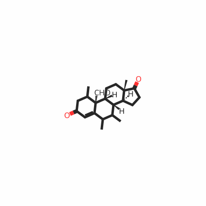 CC1C2=CC(=O)CC(C)[C@]2(C=O)[C@@H]2CC[C@]3(C)C(=O)CC[C@H]3[C@@H]2C1C